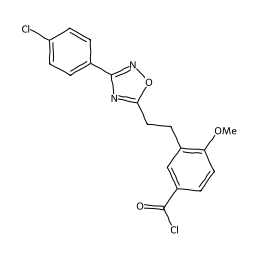 COc1ccc(C(=O)Cl)cc1CCc1nc(-c2ccc(Cl)cc2)no1